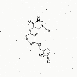 C#Cc1c[nH]c(=O)c2cc3ccnc(OCC4CCC(=O)N4)c3cc12